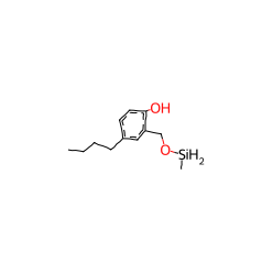 CCCCc1ccc(O)c(CO[SiH2]C)c1